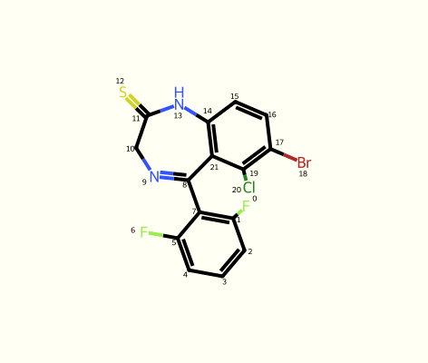 Fc1cccc(F)c1C1=NCC(=S)Nc2ccc(Br)c(Cl)c21